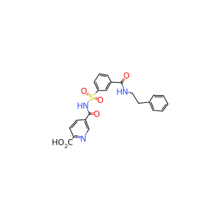 O=C(NCCc1ccccc1)c1cccc(S(=O)(=O)NC(=O)c2ccc(C(=O)O)nc2)c1